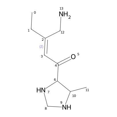 CC/C(=C/C(=O)C1NCNC1C)CN